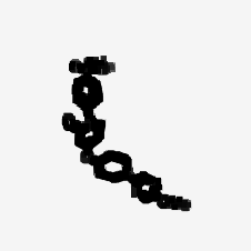 COc1cnc(N2CCC(Oc3ccn(-c4ccc(S(C)(=O)=O)cc4)c(=O)c3)CC2)cn1